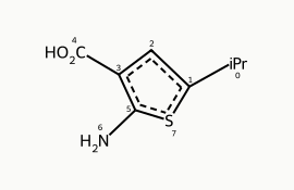 CC(C)c1cc(C(=O)O)c(N)s1